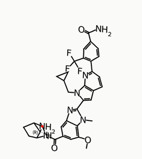 COc1cc(C(=O)N2CC3CCC2[C@@H]3N)cc2nc(-c3cc4ccc(-c5ccc(C(N)=O)cc5C(F)(F)F)nc4n3CC3CC3)n(C)c12